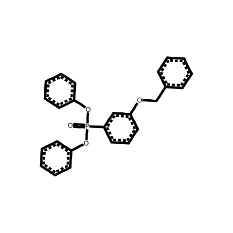 O=P(Oc1ccccc1)(Oc1ccccc1)c1cccc(OCc2ccccc2)c1